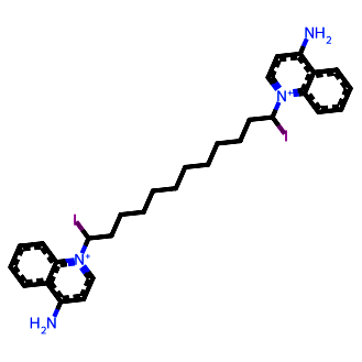 Nc1cc[n+](C(I)CCCCCCCCCCC(I)[n+]2ccc(N)c3ccccc32)c2ccccc12